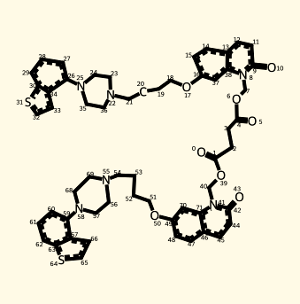 O=C(CCC(=O)OCn1c(=O)ccc2ccc(OCCCCN3CCN(c4cccc5sccc45)CC3)cc21)OCn1c(=O)ccc2ccc(OCCCCN3CCN(c4cccc5sccc45)CC3)cc21